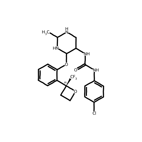 CC1NCC(NC(=O)Nc2ccc(Cl)cc2)C(Oc2ccccc2[C@@]2(C(F)(F)F)CCO2)N1